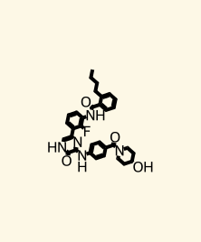 CCCCc1ccccc1C(=O)Nc1cccc(-c2c[nH]c(=O)c(Nc3ccc(C(=O)N4CCC(O)CC4)cc3)n2)c1F